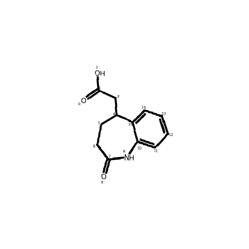 O=C(O)CC1CCC(=O)Nc2ccccc21